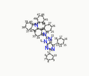 CN1c2nc(-c3ccccc3)nc(-c3ccccc3)c2N(C)C1n1c2ccccc2c2c3c(ccc21)c1ccccc1n3-c1ccccc1